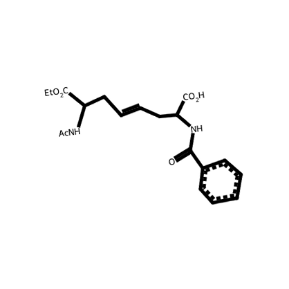 CCOC(=O)C(CC=CCC(NC(=O)c1ccccc1)C(=O)O)NC(C)=O